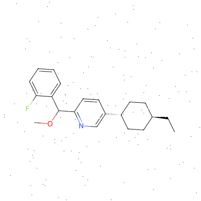 CC[C@H]1CC[C@H](c2ccc(C(OC)c3ccccc3F)nc2)CC1